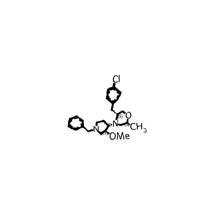 CO[C@H]1CN(Cc2ccccc2)CC[C@@H]1N1C[C@H](C)OC[C@@H]1Cc1ccc(Cl)cc1